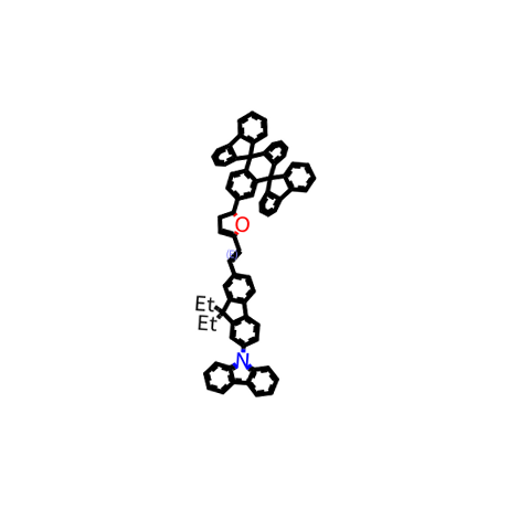 CCC1(CC)c2cc(/C=C/C3=CCC(c4ccc5c(c4)C4(c6ccccc6-c6ccccc64)c4ccccc4C54c5ccccc5-c5ccccc54)O3)ccc2-c2ccc(-n3c4ccccc4c4ccccc43)cc21